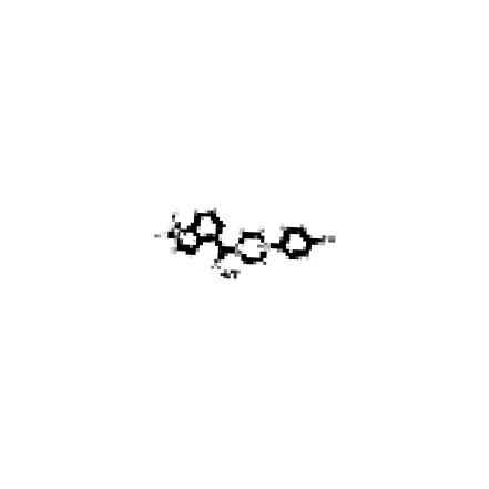 Cl.O=C(c1cccc2c1C=CS2(=O)=O)N1CCN(c2ccc(F)cc2)CC1